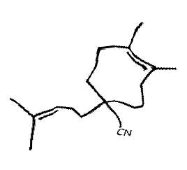 CC(C)=CCC1(C#N)CCC(C)=C(C)C1